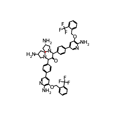 Nc1ncc(-c2ccc(C(C(=O)C(c3ccc(-c4cnc(N)c(OCc5ccccc5C(F)(F)F)c4)cc3)N3CC[C@H](N)C3)N3CC[C@H](N)C3)cc2)cc1OCc1ccccc1C(F)(F)F